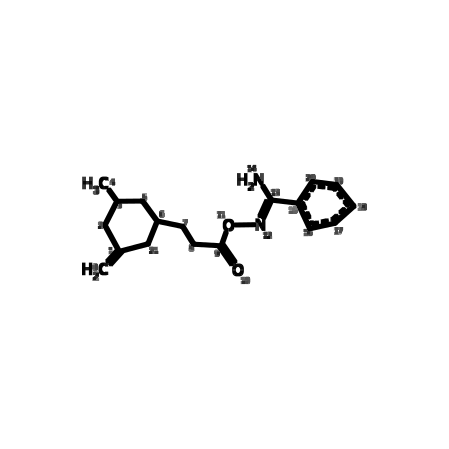 C=C1CC(C)CC(CCC(=O)O/N=C(\N)c2ccccc2)C1